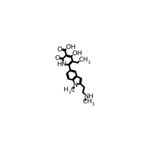 CCc1c(-c2ccc3c(c2)cc(CCNC)n3C)[nH]c(=O)c(C(=O)O)c1O